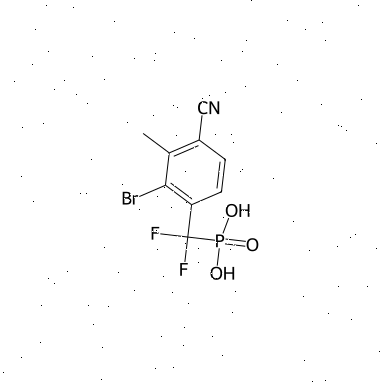 Cc1c(C#N)ccc(C(F)(F)P(=O)(O)O)c1Br